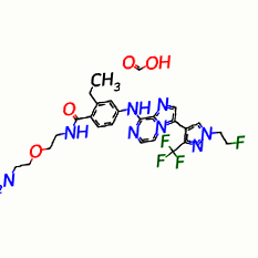 CCc1cc(Nc2nccn3c(-c4cn(CCF)nc4C(F)(F)F)cnc23)ccc1C(=O)NCCOCCN.O=CO